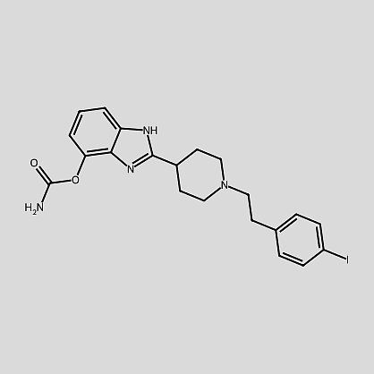 NC(=O)Oc1cccc2[nH]c(C3CCN(CCc4ccc(I)cc4)CC3)nc12